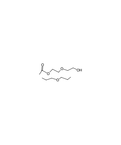 CC(=O)OCCOCCO.CCCOCCC